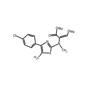 COC=C(C(=O)OC)N(C)c1nc(-c2ccc(Cl)cc2)c(C)s1